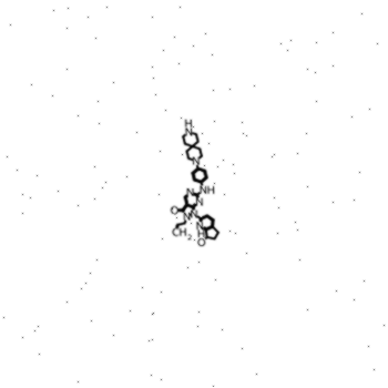 C=CCn1c(=O)c2cnc(Nc3ccc(N4CCC5(CCNCC5)CC4)cc3)nc2n1-c1ccc2c(n1)C(O)CC2